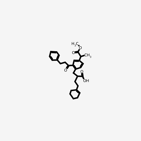 COC(=O)C(C)c1ccc(CC(CCC2=CCCCC2)C(=O)O)c(C(=O)CCc2ccccc2)c1